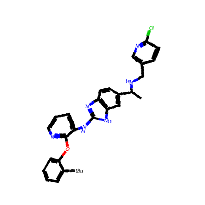 CC(NCc1ccc(Cl)nc1)c1ccc2nc(Nc3cccnc3Oc3ccccc3C(C)(C)C)[nH]c2c1